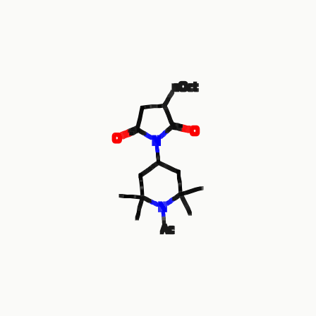 CCCCCCCCC1CC(=O)N(C2CC(C)(C)N(C(C)=O)C(C)(C)C2)C1=O